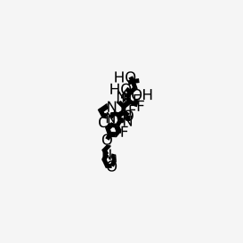 CC(C)(O)CC(O)(O)n1ncc(-c2onc(-c3c(F)cc(OCCN4CCOCC4)cc3Cl)c2-c2ncccn2)c1C(F)(F)F